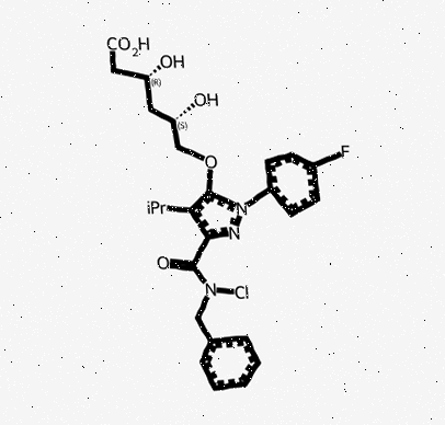 CC(C)c1c(C(=O)N(Cl)Cc2ccccc2)nn(-c2ccc(F)cc2)c1OC[C@@H](O)C[C@@H](O)CC(=O)O